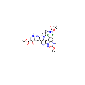 CCOC(=O)c1cn(C)c2ncc(-c3cnc4[nH]c5c(N(C)C(=O)OC(C)(C)C)cc(F)c(F)c5c4c3N3CCC4(CC4NC(=O)OC(C)(C)C)C3)cc2c1=O